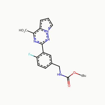 CC(C)(C)OC(=O)NCc1ccc(F)c(-c2nc(C(=O)O)c3cccn3n2)c1